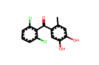 Cc1cc(O)c(O)cc1C(=O)c1c(Cl)cccc1Cl